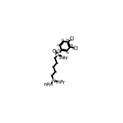 CCCN(CCC)CCCCCS(=N)(=O)c1ccc(Cl)c(Cl)c1